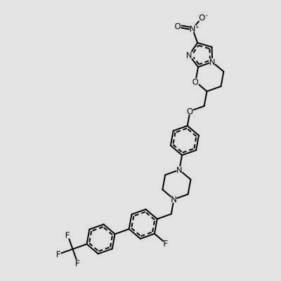 O=[N+]([O-])c1cn2c(n1)OC(COc1ccc(N3CCN(Cc4ccc(-c5ccc(C(F)(F)F)cc5)cc4F)CC3)cc1)CC2